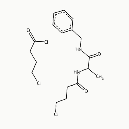 CC(NC(=O)CCCCl)C(=O)NCc1ccccc1.O=C(Cl)CCCCl